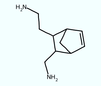 NCCC1C2C=CC(C2)C1CN